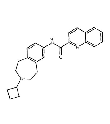 O=C(Nc1ccc2c(c1)CCN(C1CCC1)CC2)c1ccc2ccccc2n1